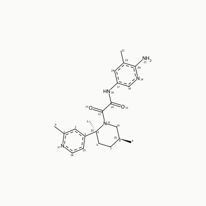 Cc1cc([C@]2(C)CC[C@H](C)CN2C(=O)C(=O)Nc2cnc(N)c(C)c2)ccn1